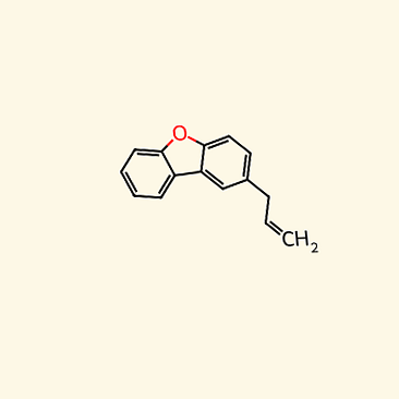 C=CCc1ccc2oc3ccccc3c2c1